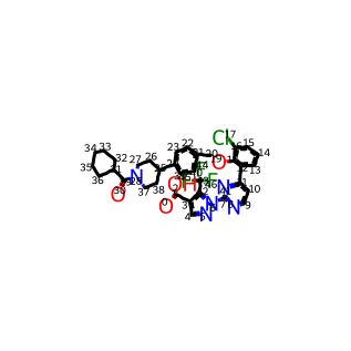 O=C(O)c1cnn(-c2nccc(-c3cccc(Cl)c3OCc3ccc(C4CCN(C(=O)C5CCCCC5)CC4)cc3)n2)c1C(F)(F)F